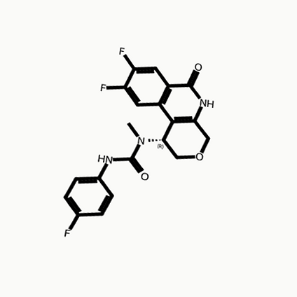 CN(C(=O)Nc1ccc(F)cc1)[C@H]1COCc2[nH]c(=O)c3cc(F)c(F)cc3c21